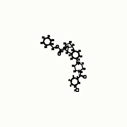 O=C(c1cccc(Cl)c1)N1CCN(c2ccc3c(c2)C2CC3CCN2C(=O)OCc2ccccc2)CC1